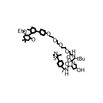 CCOC1=C(c2cc(-c3ccc(OCCOCCOCCOCC(=O)N[C@H](C(=O)N4C[C@H](O)C[C@H]4C(=O)N[C@@H](C)c4ccc(-c5scnc5C)cc4)C(C)(C)C)cc3)ccc2C)C(=O)CC(C)(C)C1